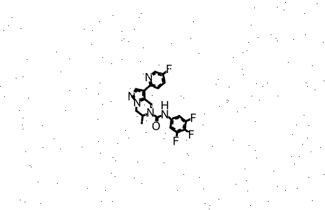 CC1Cn2ncc(-c3ccc(F)cn3)c2CN1C(=O)Nc1cc(F)c(F)c(F)c1